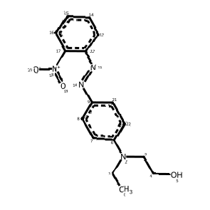 CCN(CCO)c1ccc(N=Nc2ccccc2[N+](=O)[O-])cc1